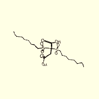 CCCCCCCCS(=O)(=O)C(CC(=O)O)(C(=O)O)S(=O)(=O)CCCCCCCC